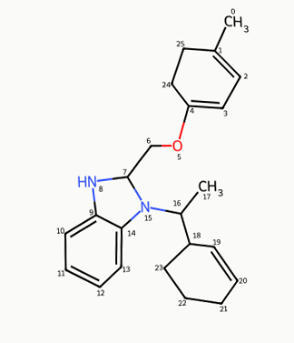 CC1=CC=C(OCC2Nc3ccccc3N2C(C)C2C=CCCC2)CC1